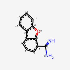 N=C(N)c1cccc2c1oc1ccccc12